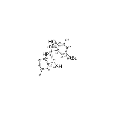 CCCCC(C)(Pc1ccc(C)cc1CS)c1cc(C(C)(C)C)cc(C)c1O